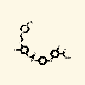 CNC(=O)c1cc(Oc2ccc(NC(=O)Nc3ccc(OCCN4CCN(C)CC4)c(Cl)c3)cc2)ccc1F